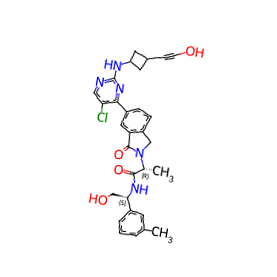 Cc1cccc([C@@H](CO)NC(=O)[C@@H](C)N2Cc3ccc(-c4nc(NC5CC(C#CO)C5)ncc4Cl)cc3C2=O)c1